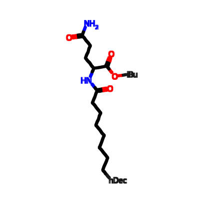 CCCCCCCCCCCCCCCCCC(=O)NC(CCC(N)=O)C(=O)OC(C)CC